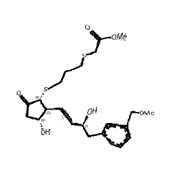 COCc1cccc(C[C@H](O)/C=C/[C@H]2[C@H](O)CC(=O)[C@@H]2SCCCSCC(=O)OC)c1